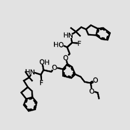 CCOC(=O)CCc1ccc(OCC(O)C(F)NC(C)(C)CC2Cc3ccccc3C2)c(OCC(O)C(F)NC(C)(C)CC2Cc3ccccc3C2)c1